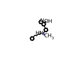 C/C=C(/NCCCCc1ccccc1)c1cccc(-c2cc(O)c3ncccc3c2)c1